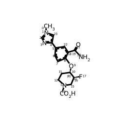 Cn1cnc(-c2ccc(O[C@@H]3CCN(C(=O)O)C[C@@H]3F)c(C(N)=O)c2)c1